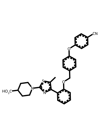 Cc1sc(N2CCC(C(=O)O)CC2)nc1-c1ccccc1OCc1ccc(Oc2ccc(C#N)cc2)cc1